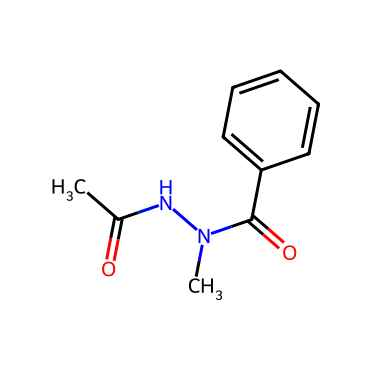 CC(=O)NN(C)C(=O)c1ccccc1